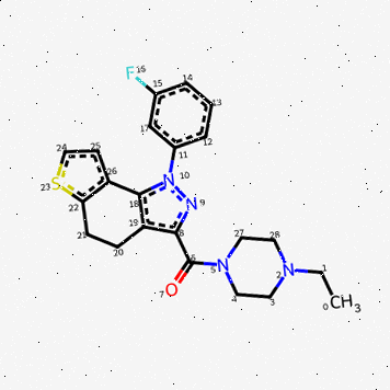 CCN1CCN(C(=O)c2nn(-c3cccc(F)c3)c3c2CCc2sccc2-3)CC1